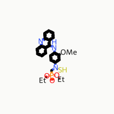 CCOP(=O)(CN(S)c1ccc(Nc2c3ccccc3nc3ccccc23)c(OC)c1)OCC